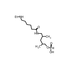 CCNCCCCCC(=O)NCC(C)CC(C)COP(=O)(O)I